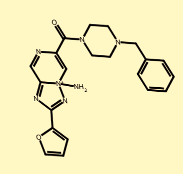 N[N+]12C=C(C(=O)N3CCN(Cc4ccccc4)CC3)N=CC1=NC(c1ccco1)=N2